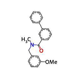 COc1cccc(CN(C)C(=O)c2cccc(-c3ccccc3)c2)c1